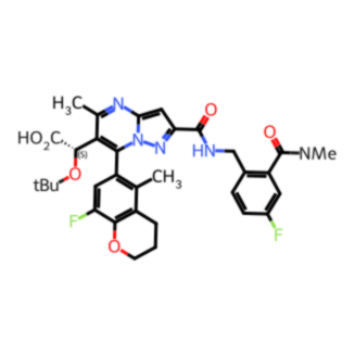 CNC(=O)c1cc(F)ccc1CNC(=O)c1cc2nc(C)c([C@H](OC(C)(C)C)C(=O)O)c(-c3cc(F)c4c(c3C)CCCO4)n2n1